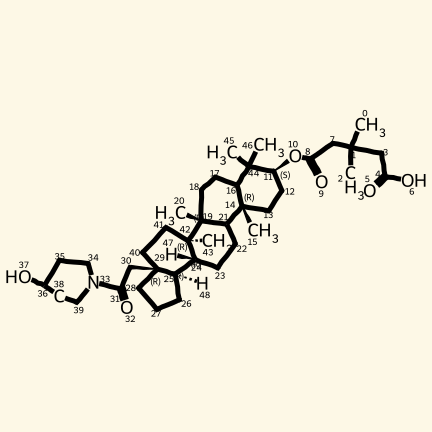 CC(C)(CC(=O)O)CC(=O)O[C@H]1CC[C@@]2(C)C(CC[C@]3(C)C2CC[C@@H]2[C@H]4CCC[C@]4(CC(=O)N4CCC(O)CC4)CC[C@]23C)C1(C)C